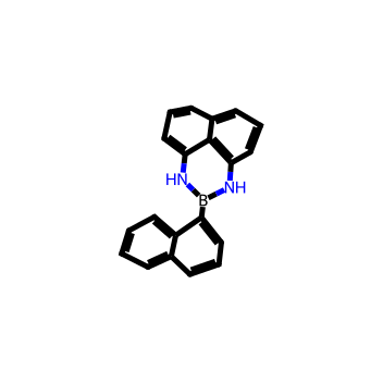 c1ccc2c(B3Nc4cccc5cccc(c45)N3)cccc2c1